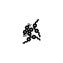 CCCCc1ccc(N(c2ccc(CCCC)cc2)c2ccc(C3(c4ccc(N(c5ccc(CCCC)cc5)c5ccc(CCCC)cc5)cc4)c4cc(Br)ccc4-c4ccc(Br)cc43)cc2)cc1